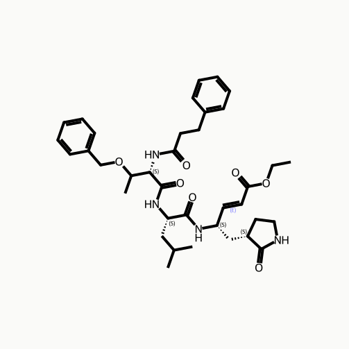 CCOC(=O)/C=C/[C@H](C[C@@H]1CCNC1=O)NC(=O)[C@H](CC(C)C)NC(=O)[C@@H](NC(=O)CCc1ccccc1)C(C)OCc1ccccc1